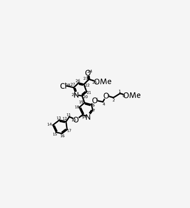 COCCOCOc1cnc(OCc2ccccc2)cc1-c1cc(C(=O)OC)cc(Cl)n1